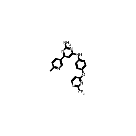 Cc1ccc(-c2cc(Nc3ccc(Oc4ccnc(C(F)(F)F)n4)cc3)nc(N)n2)cn1